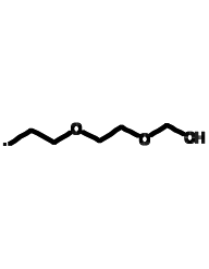 [CH2]CCOCCOCO